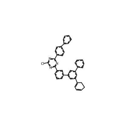 Clc1nc(-c2ccc(-c3ccccc3)cc2)nc(-c2cccc(-c3cc(C4=CC=CCC4)cc(-c4ccccc4)c3)c2)n1